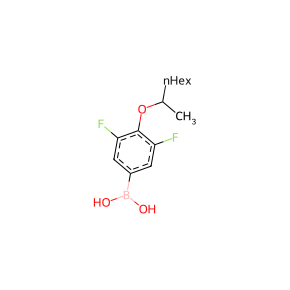 CCCCCCC(C)Oc1c(F)cc(B(O)O)cc1F